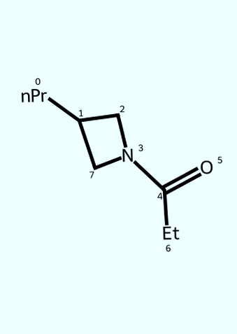 CCCC1CN(C(=O)CC)C1